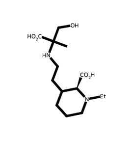 CCN1CCCC(CCNC(C)(CO)C(=O)O)[C@H]1C(=O)O